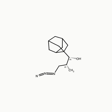 C[C@H](CN=[N+]=[N-])[C@@H](O)C12CC3CC(CC1C3)C2